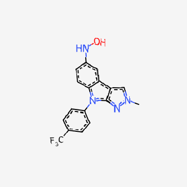 Cn1cc2c3cc(NO)ccc3n(-c3ccc(C(F)(F)F)cc3)c2n1